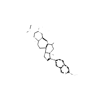 CN(C)[C@H]1C[C@]2(O)CCC3=C(C=C2[C@@H](O)[C@@H]1O)C(O)C[C@]1(C)C(c2ccc4cc(N)ncc4c2)=CCC31